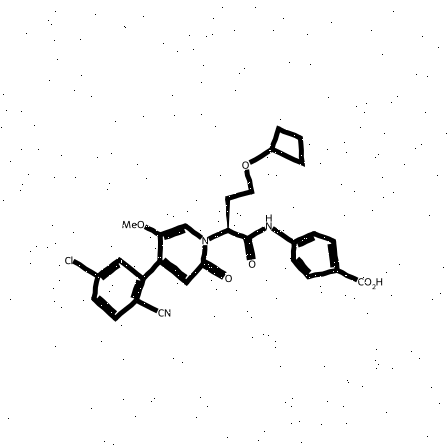 COc1cn([C@@H](CCOC2CCC2)C(=O)Nc2ccc(C(=O)O)cc2)c(=O)cc1-c1cc(Cl)ccc1C#N